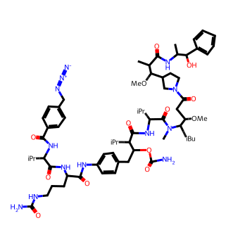 CCC(C)C(C(CC(=O)N1CCC(C(OC)C(C)C(=O)NC(C)C(O)c2ccccc2)C1)OC)N(C)C(=O)C(NC(=O)C(C(C)C)C(Cc1ccc(NC(=O)C(CCCNC(N)=O)NC(=O)C(NC(=O)c2ccc(CN=[N+]=[N-])cc2)C(C)C)cc1)OC(N)=O)C(C)C